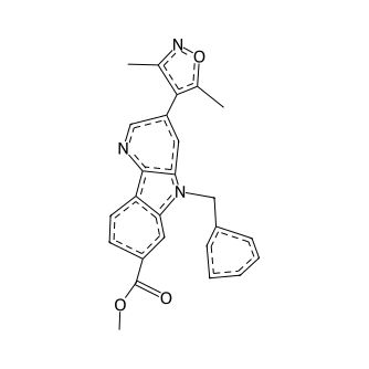 COC(=O)c1ccc2c3ncc(-c4c(C)noc4C)cc3n(Cc3ccccc3)c2c1